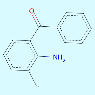 [CH2]c1cccc(C(=O)c2ccccc2)c1N